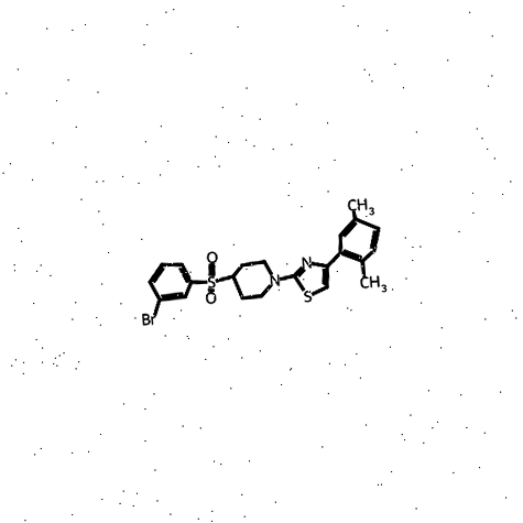 Cc1ccc(C)c(-c2csc(N3CCC(S(=O)(=O)c4cccc(Br)c4)CC3)n2)c1